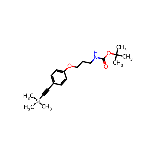 CC(C)(C)OC(=O)NCCCOc1ccc(C#C[Si](C)(C)C)cc1